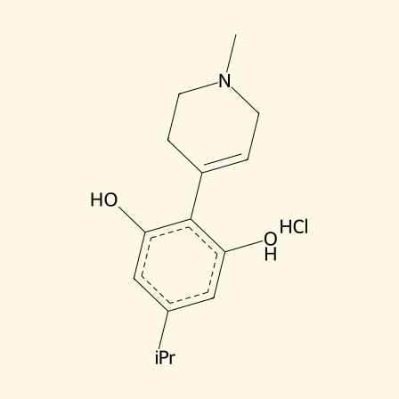 CC(C)c1cc(O)c(C2=CCN(C)CC2)c(O)c1.Cl